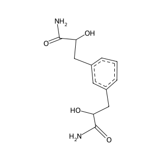 NC(=O)C(O)Cc1cccc(CC(O)C(N)=O)c1